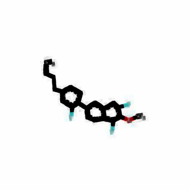 C=CCCc1ccc(-c2ccc3c(F)c(OC(F)(F)F)c(F)cc3c2)c(F)c1